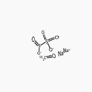 C=O.O=S([O-])S(=O)(=O)[O-].[Na+].[Na+]